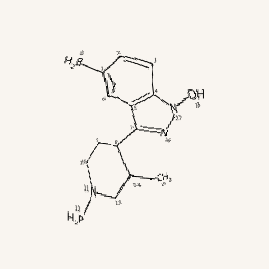 Bc1ccc2c(c1)c(C1CCN(P)CC1C)nn2O